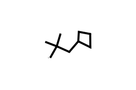 [CH2]C(C)(C)CC1CCC1